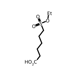 CCOS(=O)(=O)CCCCCC(=O)O